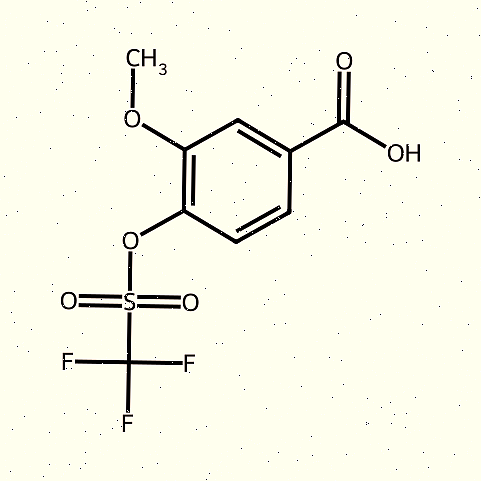 COc1cc(C(=O)O)ccc1OS(=O)(=O)C(F)(F)F